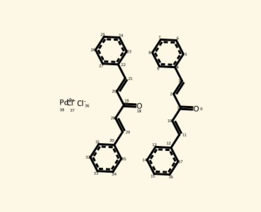 O=C(C=Cc1ccccc1)C=Cc1ccccc1.O=C(C=Cc1ccccc1)C=Cc1ccccc1.[Cl-].[Cl-].[Pd+2]